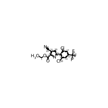 CCOC(=O)c1nn(-c2c(Cl)cc(C(F)(F)F)cc2Cl)cc1C#N